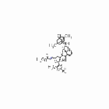 COC(=O)/C=C/CCC(NC(=O)c1sc(C(F)(F)F)nc1C)C(=O)Nc1cccn(CC(=O)NC23CC4(C)CC(C)(CC(C)(C4)C2)C3)c1=O